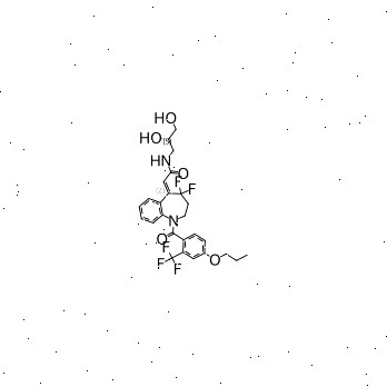 CCCOc1ccc(C(=O)N2CCC(F)(F)/C(=C\C(=O)NC[C@H](O)CO)c3ccccc32)c(C(F)(F)F)c1